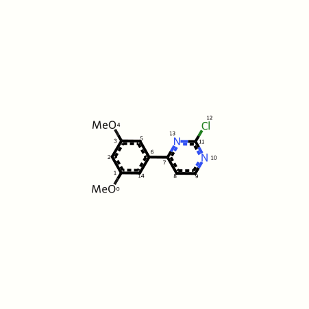 COc1cc(OC)cc(-c2ccnc(Cl)n2)c1